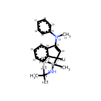 [Li][C]1([Si](C)(C)NC(C)(CC)CC)C=C(N(C)c2ccccc2)c2ccccc21